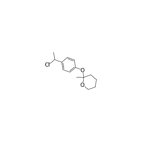 CC(Cl)c1ccc(OC2(C)CCCCO2)cc1